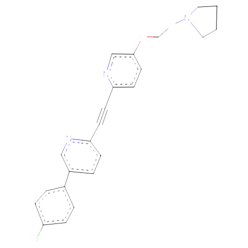 Clc1ccc(-c2ccc(C#Cc3ccc(OCCN4CCCC4)cn3)nc2)cc1